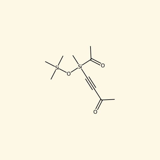 CC(=O)C#C[Si](C)(O[Si](C)(C)C)C(C)=O